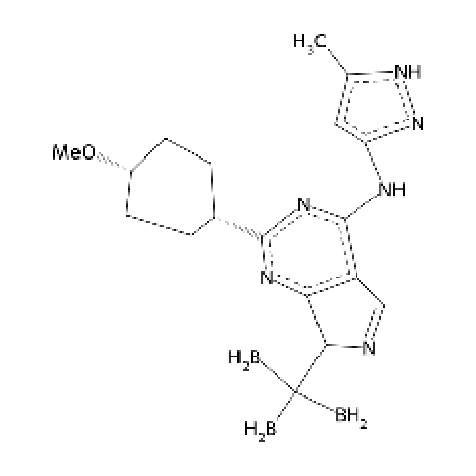 BC(B)(B)C1N=Cc2c(Nc3cc(C)[nH]n3)nc([C@H]3CC[C@@H](OC)CC3)nc21